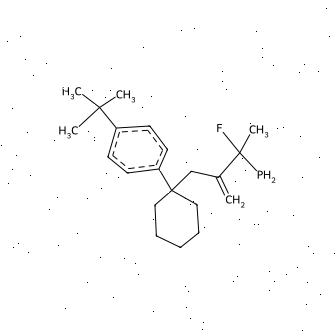 C=C(CC1(c2ccc(C(C)(C)C)cc2)CCCCC1)C(C)(F)P